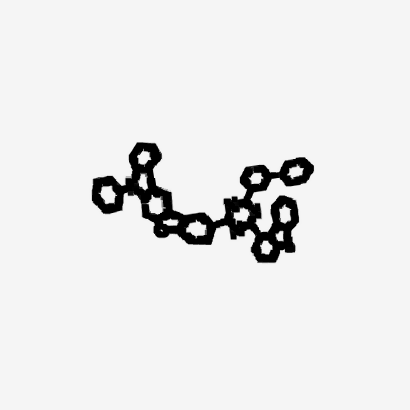 c1ccc(-c2cccc(-c3nc(-c4ccc5oc6cc7c(cc6c5c4)c4ccccc4n7-c4ccccc4)nc(-c4cccc5sc6ccccc6c45)n3)c2)cc1